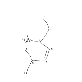 CCC(N)/C=C\C(C)C